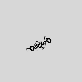 COc1ccc(S(=O)(=O)n2cc(F)c(=NCc3ccccc3F)n(C)c2=O)cc1